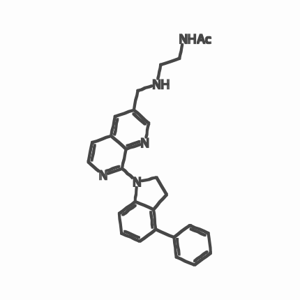 CC(=O)NCCNCc1cnc2c(N3CCc4c(-c5ccccc5)cccc43)nccc2c1